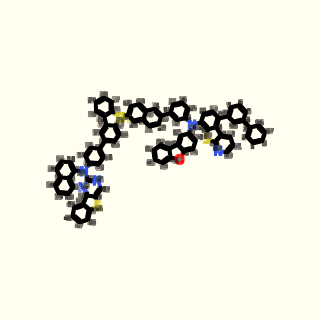 c1ccc(-c2cccc(-c3ccc(N(c4cccc(-c5ccc6cc([SH]7c8ccccc8-c8cc(-c9ccc(N(c%10ncc%11sc%12ccccc%12c%11n%10)c%10cccc%11ccccc%10%11)cc9)ccc87)ccc6c5)c4)c4ccc5oc6ccccc6c5c4)c4sc5ncccc5c34)c2)cc1